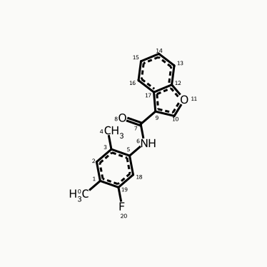 Cc1cc(C)c(NC(=O)c2coc3ccccc23)cc1F